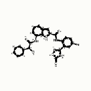 O=C(Nc1ccc(Br)cc1-c1noc(=O)[nH]1)c1cc2cccc(NC(=O)C(Cl)c3ccccc3)c2[nH]1